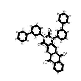 O=C1c2ccccc2C(=O)C2C=c3c(c(=O)n(-c4cccc(-c5ccccc5)c4)c(=O)n3-c3cccc(-c4ccccc4)c3)=CC12